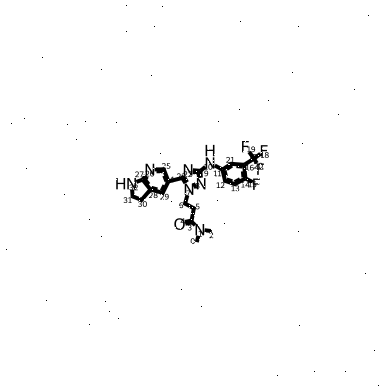 CN(C)C(=O)CCn1nc(Nc2ccc(F)c(C(F)(F)F)c2)nc1-c1cnc2c(c1)CCN2